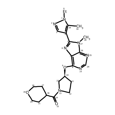 CCn1ncc(-c2nc3c(O[C@H]4CCN(C(=O)C5CCOCC5)C4)ncnc3n2C)c1C